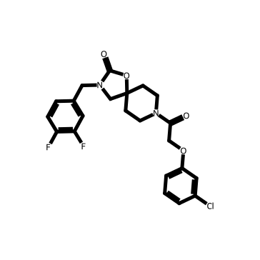 O=C(COc1cccc(Cl)c1)N1CCC2(CC1)CN(Cc1ccc(F)c(F)c1)C(=O)O2